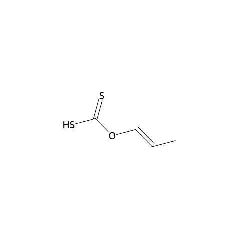 CC=COC(=S)S